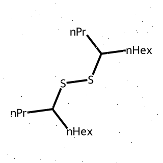 CCCCCCC(CCC)SSC(CCC)CCCCCC